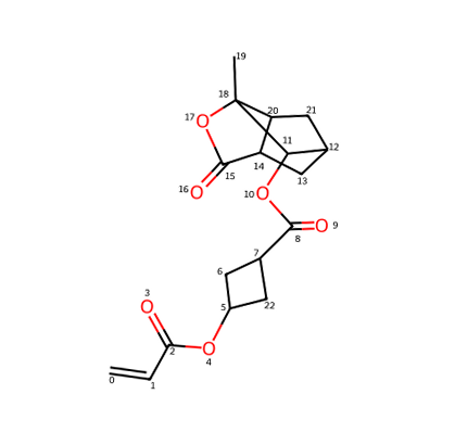 C=CC(=O)OC1CC(C(=O)OC2C3CC4C(=O)OC2(C)C4C3)C1